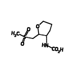 CS(=O)(=O)CC1OCCCC1NC(=O)O